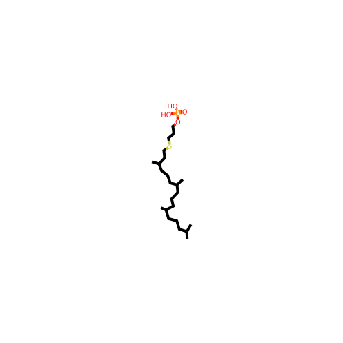 CC(C)CCCC(C)CCCC(C)CCCC(C)CCSCCCOP(=O)(O)O